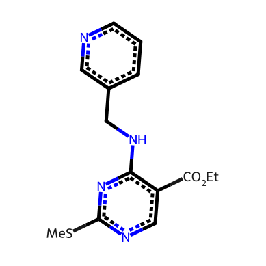 CCOC(=O)c1cnc(SC)nc1NCc1cccnc1